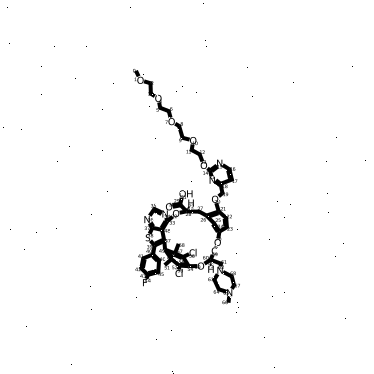 COCCOCCOCCOCCOc1nccc(COc2ccc3cc2C[C@H](C(=O)O)Oc2ncnc4sc(-c5ccc(F)cc5)c(c24)-c2c(C)c(Cl)c(c(Cl)c2C)O[C@H](CN2CCN(C)CC2)CO3)n1